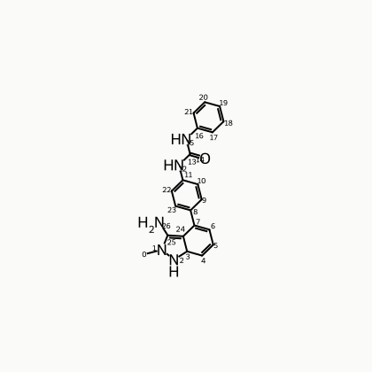 CN1NC2C=CC=C(c3ccc(NC(=O)Nc4ccccc4)cc3)C2=C1N